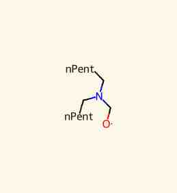 CCCCCCN(C[O])CCCCCC